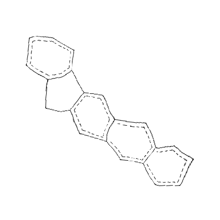 c1ccc2c(c1)Cc1cc3cc4ccccc4cc3cc1-2